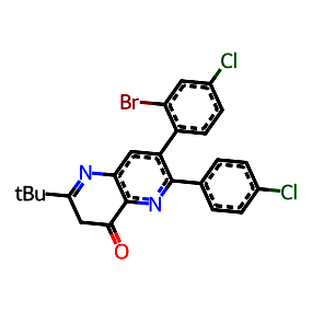 CC(C)(C)C1=Nc2cc(-c3ccc(Cl)cc3Br)c(-c3ccc(Cl)cc3)nc2C(=O)C1